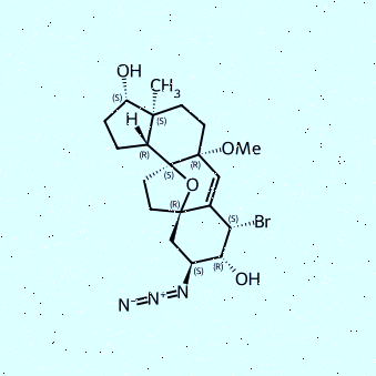 CO[C@]12C=C3[C@H](Br)[C@H](O)[C@@H](N=[N+]=[N-])C[C@]34CC[C@]1(O4)[C@@H]1CC[C@H](O)[C@@]1(C)CC2